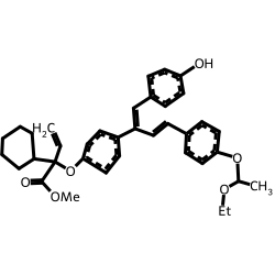 C=CC(Oc1ccc(C(C=Cc2ccc(OC(C)OCC)cc2)=Cc2ccc(O)cc2)cc1)(C(=O)OC)C1CCCCC1